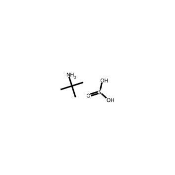 CC(C)(C)N.O=S(O)O